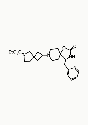 CCOC(=O)N1CCC2(CC(N3CCC4(CC3)OC(=O)NC4Cc3ccccn3)C2)C1